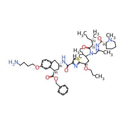 CCCO[C@H](CC(C(C)C)N(CCC)C(=O)[C@@H](NC(=O)[C@H]1CCCCN1C)[C@@H](C)CC)c1nc(C(=O)N[C@H]2Cc3ccc(OCCCCN)cc3[C@H](C(=O)OCc3ccccc3)C2)cs1